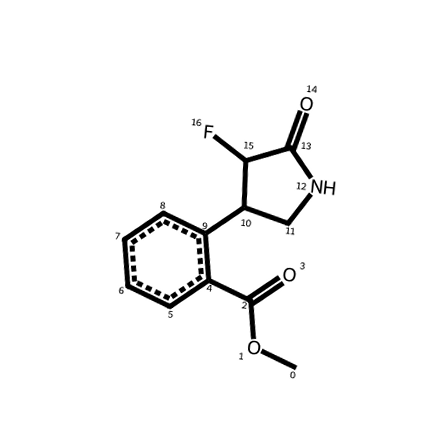 COC(=O)c1ccccc1C1CNC(=O)C1F